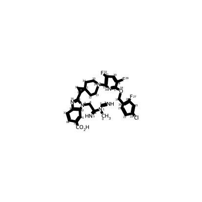 CN(C=N)C(=N)Cn1c(C2CC23CCN(c2nc(OCc4ccc(Cl)cc4F)c(F)cc2F)CC3)nc2ccc(C(=O)O)cc21